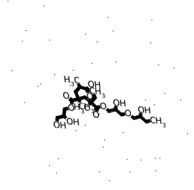 CCC(O)COCC(O)COC(=O)C(C)(CC)CC(C)(CC(C)C(=O)O)C(=O)OCC(O)CO